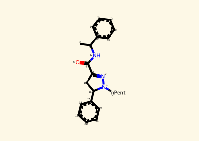 CCCCCN1N=C(C(=O)NC(C)c2ccccc2)CC1c1ccccc1